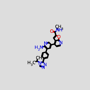 CNC(=O)c1cc2c(-c3cnc(N)c(-c4ccc(-c5nncn5C(C)C)cc4)c3)ccnc2o1